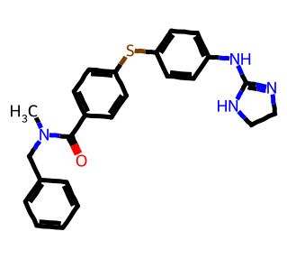 CN(Cc1ccccc1)C(=O)c1ccc(Sc2ccc(NC3=NCCN3)cc2)cc1